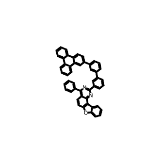 c1ccc(-c2nc(-c3cccc(-c4cccc(-c5ccc6c7ccccc7c7ccccc7c6c5)c4)c3)nc3c2ccc2oc4ccccc4c23)cc1